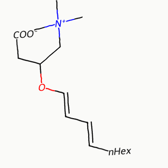 CCCCCCC=CC=COC(CC(=O)[O-])C[N+](C)(C)C